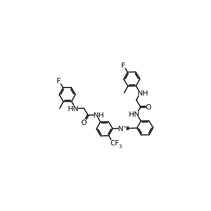 Cc1cc(F)ccc1NCC(=O)Nc1ccc(C(F)(F)F)c([N+]#Cc2ccccc2NC(=O)CNc2ccc(F)cc2C)c1